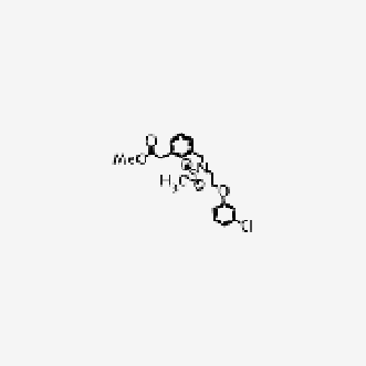 COC(=O)Cc1cccc(CN(CCOc2cccc(Cl)c2)S(C)(=O)=O)c1